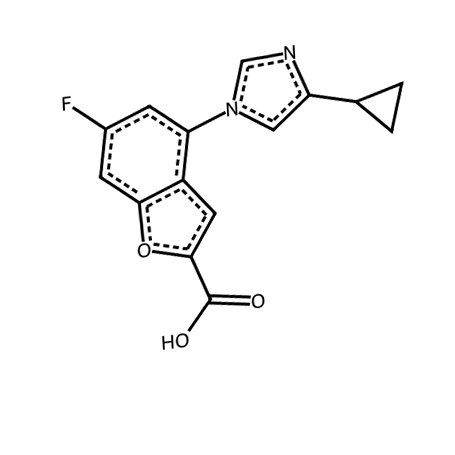 O=C(O)c1cc2c(-n3cnc(C4CC4)c3)cc(F)cc2o1